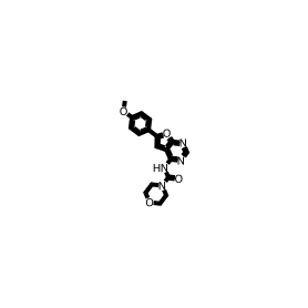 COc1ccc(-c2cc3c(NC(=O)N4CCOCC4)ncnc3o2)cc1